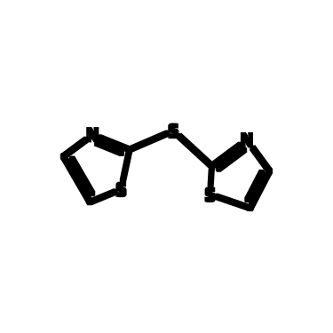 c1csc(Sc2nccs2)n1